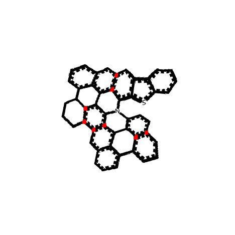 c1ccc(-c2cccc3cccc(-c4ccccc4N(c4ccccc4-c4cccc5cccc(C6CCCCC6)c45)c4cccc5c4sc4ccccc45)c23)cc1